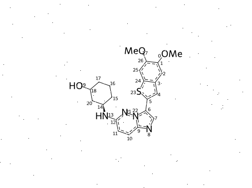 COc1cc2cc(-c3cnc4ccc(N[C@@H]5CCCC(O)C5)nn34)sc2cc1OC